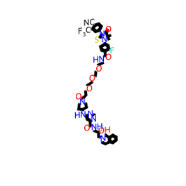 CC1(C)C(=O)N(c2ccc(C#N)c(C(F)(F)F)c2)C(=S)N1c1ccc(C(=O)NCCOCCOCCOCCC(=O)N2CCC(Nc3cc(C(=O)NC[C@H](O)CN4CCc5ccccc5C4)ncn3)CC2)c(F)c1